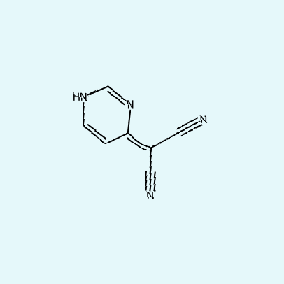 N#CC(C#N)=C1C=CNC=N1